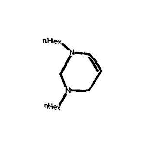 CCCCCCN1C=CCN(CCCCCC)C1